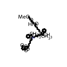 COCCOCCNC(=O)CCCCC[N+]1=C(C=CC=C/C=C2/N(CCCCCC(=O)ON3C(=O)CCC3=O)c3ccccc3C2(C)C)C(C)(C)c2ccccc21